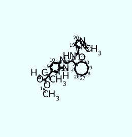 CCOC(=O)C(C)(C)c1ccc2nc([C@@H](NC(=O)c3ccnn3C)C3CCCCCCC3)[nH]c2c1